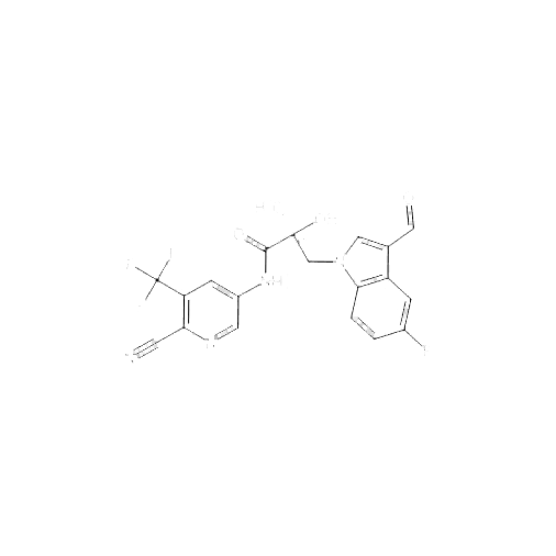 C[C@](O)(Cn1cc(C=O)c2cc(F)ccc21)C(=O)Nc1cnc(C#N)c(C(F)(F)F)c1